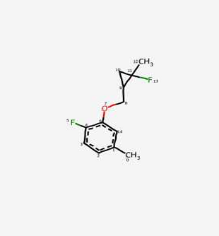 Cc1ccc(F)c(OCC2CC2(C)F)c1